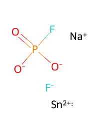 O=P([O-])([O-])F.[F-].[Na+].[Sn+2]